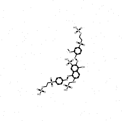 COc1cc(S(=O)(=O)CCOS(=O)(=O)O)ccc1/N=N/c1c(S(=O)(=O)O)cc2c(/N=N/c3ccc(S(=O)(=O)CCOS(=O)(=O)O)cc3)c(NCS(=O)(=O)O)ccc2c1O